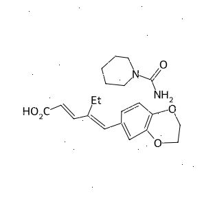 CCC(/C=C/C(=O)O)=C\c1ccc2c(c1)OCCO2.NC(=O)N1CCCCC1